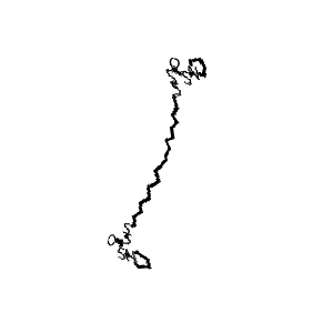 O=C(SSCCCCCCCCCCCCCCCCCCSSC(=O)SN1CCCC1)SN1CCCC1